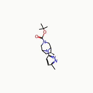 Cc1ccc(N2C3C[C@H](C)C2CN(C(=O)OC(C)(C)C)C3)nn1